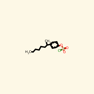 CCCCCCC(C)c1ccc(OS(=O)(=O)Cl)cc1